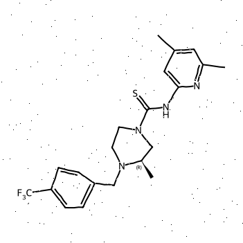 Cc1cc(C)nc(NC(=S)N2CCN(Cc3ccc(C(F)(F)F)cc3)[C@H](C)C2)c1